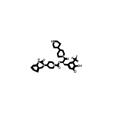 O=C(O[C@H](Cc1cc(Cl)c(O)c(C(F)(F)F)c1)C(=O)N1CCC(C2CCNCC2)CC1)N1CCC(N2Cc3ccccc3NC2=O)CC1